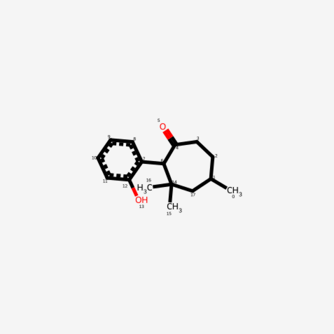 CC1CCC(=O)C(c2ccccc2O)C(C)(C)C1